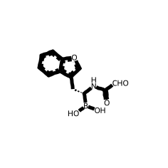 O=CC(=O)N[C@@H](Cc1coc2ccccc12)B(O)O